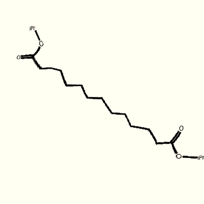 CC(C)OC(=O)CCCCCCCCCCCC(=O)OC(C)C